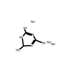 SC1=NC(S)NC(S)=N1.[Na+].[Na+].[Na+]